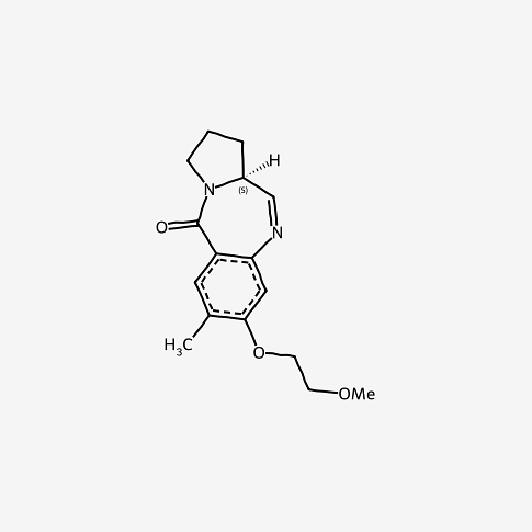 COCCOc1cc2c(cc1C)C(=O)N1CCC[C@H]1C=N2